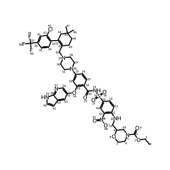 CCOC(=O)N1CCOC(CNc2ccc(S(=O)(=O)NC(=O)c3ccc(N4CCN(CC5=C(c6ccc(C(F)(F)F)cc6Cl)CC(C)(C)CC5)CC4)cc3Oc3cnc4[nH]ccc4c3)cc2[N+](=O)[O-])C1